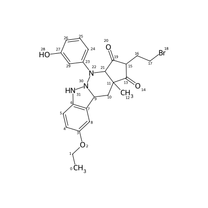 CCOc1ccc2c(c1)C1CC3(C)C(=O)C(CCBr)C(=O)C3N(c3cccc(O)c3)N1N2